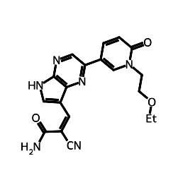 CCOCCn1cc(-c2cnc3[nH]cc(C=C(C#N)C(N)=O)c3n2)ccc1=O